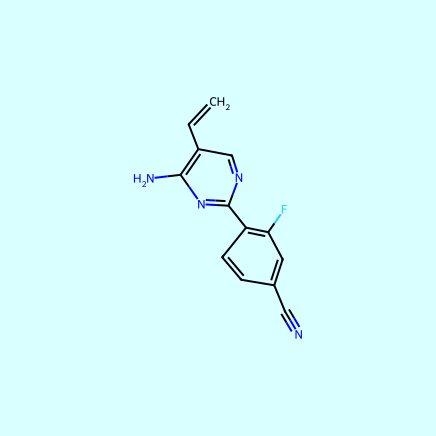 C=Cc1cnc(-c2ccc(C#N)cc2F)nc1N